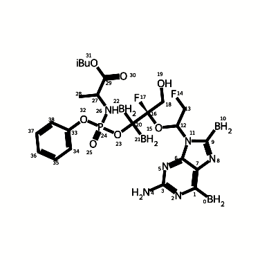 Bc1nc(N)nc2c1nc(B)n2C(CF)O[C@@](F)(CO)C(B)(B)OP(=O)(NC(C)C(=O)OCC(C)C)Oc1ccccc1